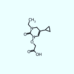 CCN1CC(C2CC2)=CN(OCC(=O)O)C1=O